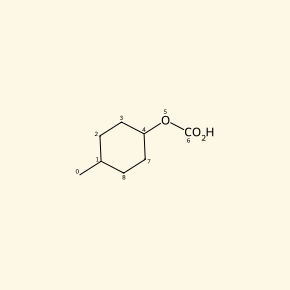 CC1CCC(OC(=O)O)CC1